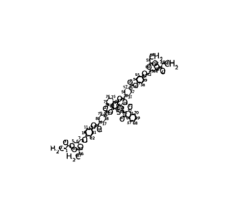 C=CC(=O)OCC(COc1ccc(OC(=O)C2CCC(C(=O)Oc3c4c(c(OC(=O)C5CCC(C(=O)Oc6ccc(OCC(COC(=O)C=C)OC(=O)C=C)cc6)CC5)c5c3SC(=C3C(=O)c6ccccc6C3=O)S5)CCC=C4)CC2)cc1)OC(=O)C=C